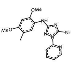 COc1cc(OC)c(Nc2nc(N)n(-c3ccccn3)n2)cc1C